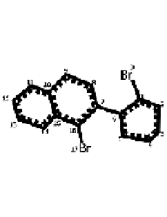 Brc1ccccc1-c1ccc2ccccc2c1Br